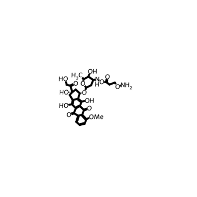 COc1cccc2c1C(=O)c1c(O)c3c(c(O)c1C2=O)C[C@@](O)(C(=O)CO)C[C@@H]3OC1CC(NOC(=O)CCON)C(O)C(C)O1